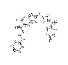 Cc1cc2nn(CC3CN(C(=O)c4ccc(Cl)cc4)C3)cc2cc1C(=O)NCCN1CCOCC1